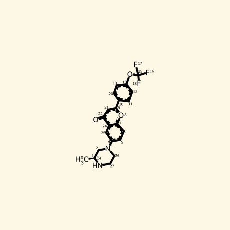 C[C@H]1CN(c2ccc3oc(-c4ccc(OC(F)(F)F)cc4)cc(=O)c3c2)CCN1